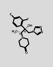 C[C@@H](N1CCC(=O)CC1)[C@](O)(Cn1cnnc1)c1ccc(F)cc1F